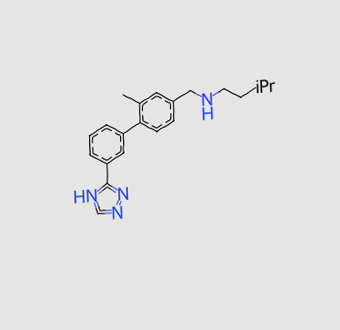 Cc1cc(CNCCC(C)C)ccc1-c1cccc(-c2nnc[nH]2)c1